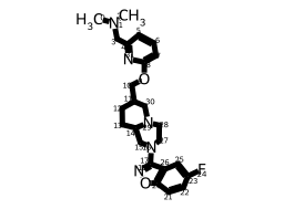 CN(C)Cc1cccc(OCC2CCC3CN(c4noc5ccc(F)cc45)CCN3C2)n1